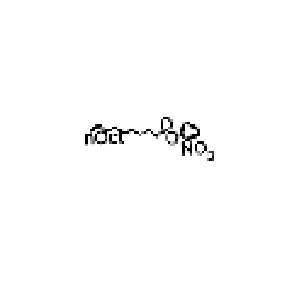 CCCCCCCC/C=C\CCCCCCCC(=O)Oc1ccccc1[N+](=O)[O-]